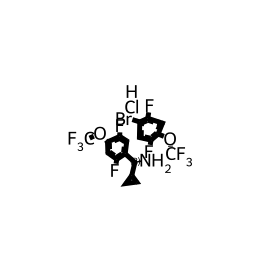 Cl.Fc1cc(OC(F)(F)F)c(F)cc1Br.N[C@@H](c1cc(F)c(OC(F)(F)F)cc1F)C1CC1